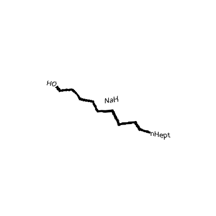 CCCCCCCCCCCCCCCCO.[NaH]